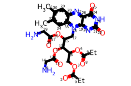 CCC(=O)OCC(OC(=O)CC)C(OC(=O)CN)C(Cn1c2nc(=O)[nH]c(=O)c-2nc2cc(C)c(C)cc21)OC(=O)CN